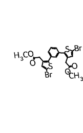 COC(=O)Cc1cc(Br)sc1-c1cccc(-c2sc(Br)cc2CC(=O)OC)c1